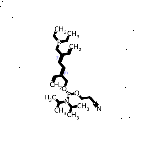 C=C/C(=C\C=C(/C=C)CP(CC)CC)COP(OCCC#N)N(C(C)C)C(C)C